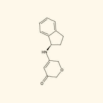 O=C1C=C(N[C@@H]2CCc3ccccc32)COC1